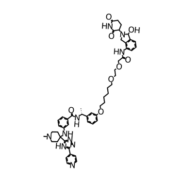 C[C@@H](NC(=O)c1cccc(NC2(c3nnc(-c4ccncc4)[nH]3)CCN(C)CC2)c1)c1cccc(OCCCCCCOCCOCC(=O)Nc2cccc3c2CN(C2CCC(=O)NC2=O)C3O)c1